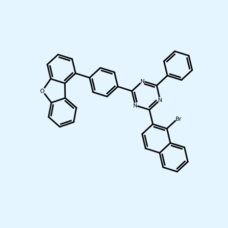 Brc1c(-c2nc(-c3ccccc3)nc(-c3ccc(-c4cccc5oc6ccccc6c45)cc3)n2)ccc2ccccc12